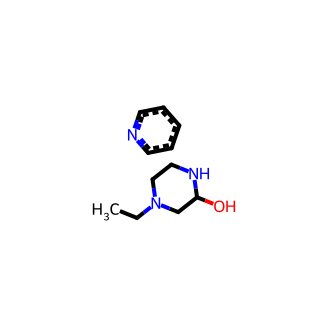 CCN1CCNC(O)C1.c1ccncc1